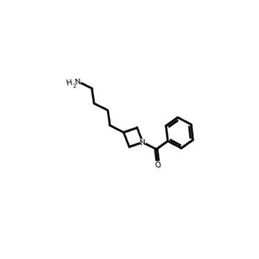 NCCCCC1CN(C(=O)c2ccccc2)C1